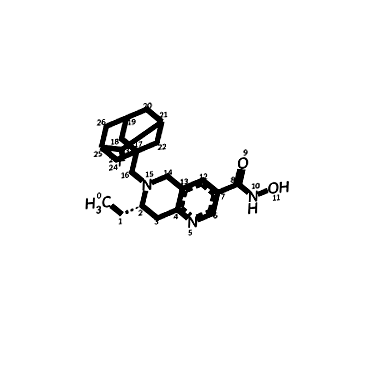 CC[C@H]1Cc2ncc(C(=O)NO)cc2CN1CC12CC3CC(C1)C(F)C(C3)C2